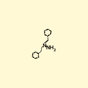 NN(/C=C/c1ccccc1)CCc1ccccc1